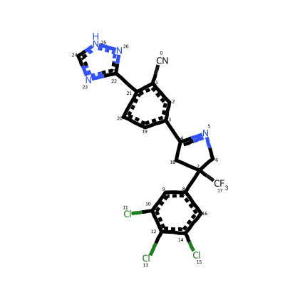 N#Cc1cc(C2=NCC(c3cc(Cl)c(Cl)c(Cl)c3)(C(F)(F)F)C2)ccc1-c1nc[nH]n1